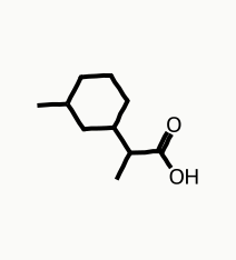 CC1CCCC(C(C)C(=O)O)C1